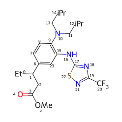 CCC(CC(=O)OC)c1ccc(N(CC(C)C)CC(C)C)c(Nc2nc(C(F)(F)F)ns2)c1